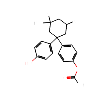 CC(=O)Oc1ccc(C2(c3ccc(O)cc3)CC(C)CC(C)(C)C2)cc1